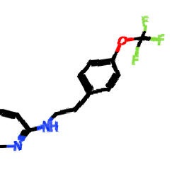 FC(F)(F)Oc1ccc(CCNc2ccncn2)cc1